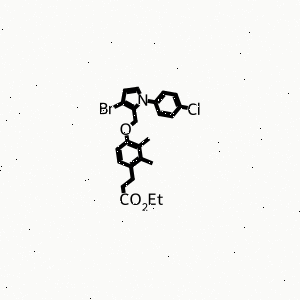 CCOC(=O)CCc1ccc(OCc2c(Br)ccn2-c2ccc(Cl)cc2)c(C)c1C